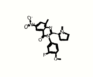 COc1ccc(-n2c([C@@H]3CCCN3C)nc3c(C)cc([N+](=O)[O-])cc3c2=O)cc1F